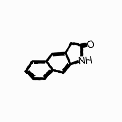 O=C1Cc2cc3ccccc3cc2N1